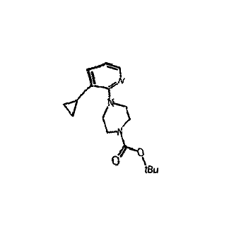 CC(C)(C)OC(=O)N1CCN(c2ncccc2C2CC2)CC1